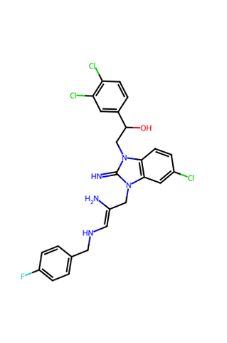 N=c1n(C/C(N)=C/NCc2ccc(F)cc2)c2cc(Cl)ccc2n1CC(O)c1ccc(Cl)c(Cl)c1